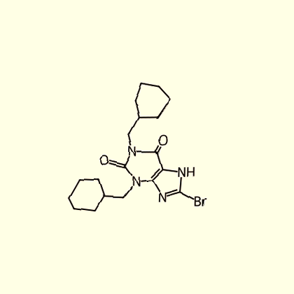 O=c1c2[nH]c(Br)nc2n(CC2CCCCC2)c(=O)n1CC1CCCCC1